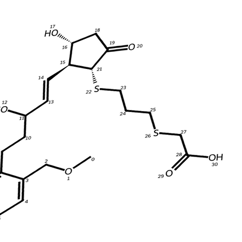 COCc1ccccc1CCC(O)/C=C/[C@H]1[C@H](O)CC(=O)[C@@H]1SCCCSCC(=O)O